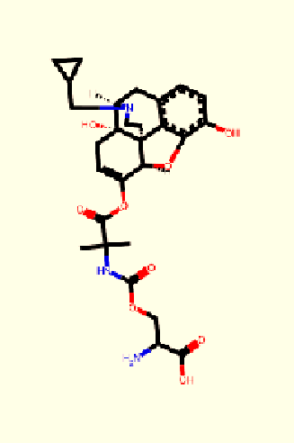 CC(C)(NC(=O)OCC(N)C(=O)O)C(=O)OC1=CC[C@@]2(O)[C@H]3Cc4ccc(O)c5c4[C@@]2(CCN3CC2CC2)[C@H]1O5